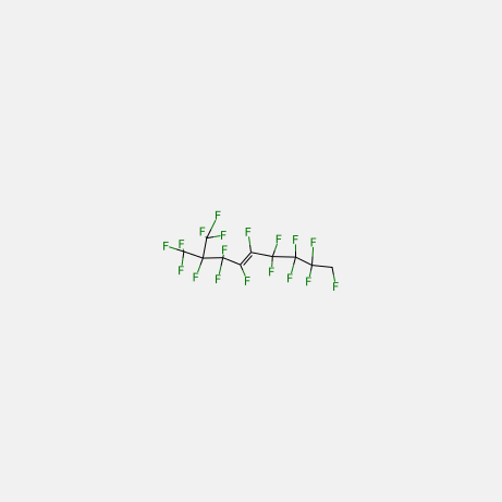 FCC(F)(F)C(F)(F)C(F)(F)C(F)=C(F)C(F)(F)C(F)(C(F)(F)F)C(F)(F)F